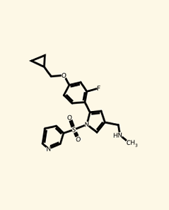 CNCc1cc(-c2ccc(OCC3CC3)cc2F)n(S(=O)(=O)c2cccnc2)c1